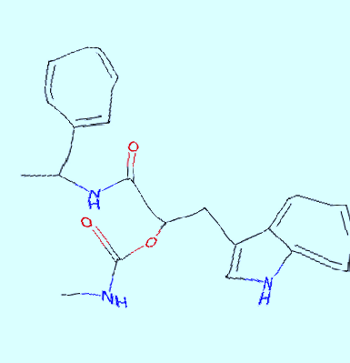 CNC(=O)OC(Cc1c[nH]c2ccccc12)C(=O)NC(C)c1ccccc1